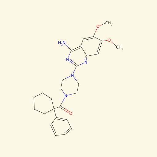 COc1cc2nc(N3CCN(C(=O)C4(c5ccccc5)CCCCC4)CC3)nc(N)c2cc1OC